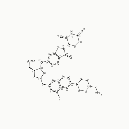 COC[C@@H]1CN(Cc2cc(F)c3nc(N4CCN(CC(F)(F)F)CC4)ccc3c2)C[C@H]1Oc1ccc2c(c1)CN([C@H]1CCC(=O)NC1=O)C2=O